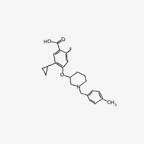 Cc1ccc(CN2CCCC(Oc3cc(F)c(C(=O)O)cc3C3CC3)C2)cc1